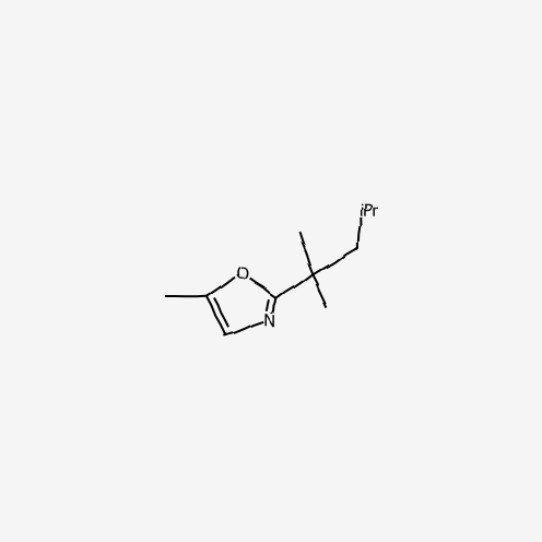 Cc1cnc(C(C)(C)CC(C)C)o1